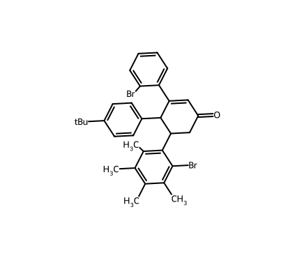 Cc1c(C)c(C)c(C2CC(=O)C=C(c3ccccc3Br)C2c2ccc(C(C)(C)C)cc2)c(Br)c1C